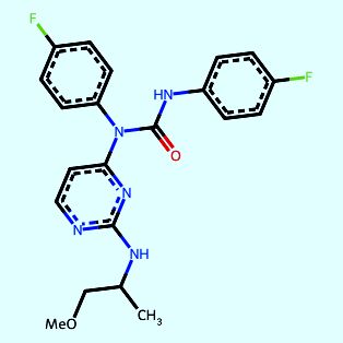 COCC(C)Nc1nccc(N(C(=O)Nc2ccc(F)cc2)c2ccc(F)cc2)n1